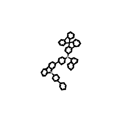 c1ccc(-c2ccc(-n3c4ccccc4c4ccc(-c5ccc(N(c6ccc7c(c6)-c6ccccc6C76c7ccccc7-c7ccccc76)c6cccc7ccccc67)cc5)cc43)cc2)cc1